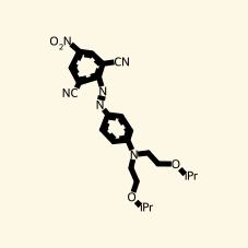 CC(C)OCCN(CCOC(C)C)c1ccc(N=Nc2c(C#N)cc([N+](=O)[O-])cc2C#N)cc1